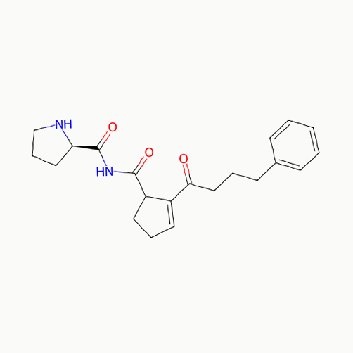 O=C(CCCc1ccccc1)C1=CCCC1C(=O)NC(=O)[C@H]1CCCN1